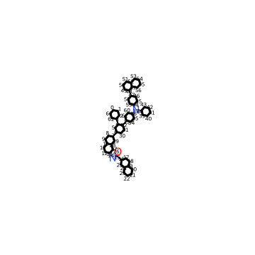 c1ccc(-c2cc(-c3ccc4ccc5nc(-c6ccc7ccccc7c6)oc5c4c3)ccc2-c2ccc(N(c3ccccc3)c3ccc(-c4cccc5ccccc45)cc3)cc2)cc1